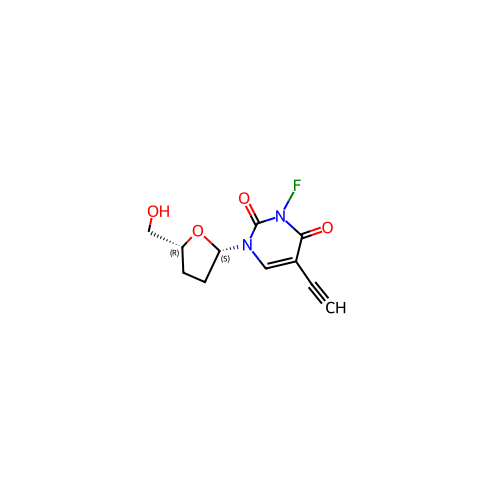 C#Cc1cn([C@@H]2CC[C@H](CO)O2)c(=O)n(F)c1=O